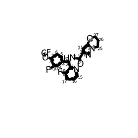 O=C(N[C@@H](c1ccc(OC(F)(F)F)c(F)c1)c1ncccc1F)c1cc2n(n1)CCCO2